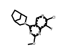 COc1nc(N2CC3CCC(C3)C2)c2cnc(Cl)c(F)c2n1